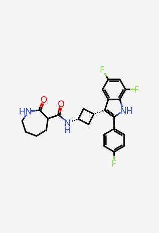 O=C1NCCCCC1C(=O)N[C@H]1C[C@@H](c2c(-c3ccc(F)cc3)[nH]c3c(F)cc(F)cc32)C1